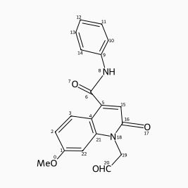 COc1ccc2c(C(=O)Nc3ccccc3)cc(=O)n(CC=O)c2c1